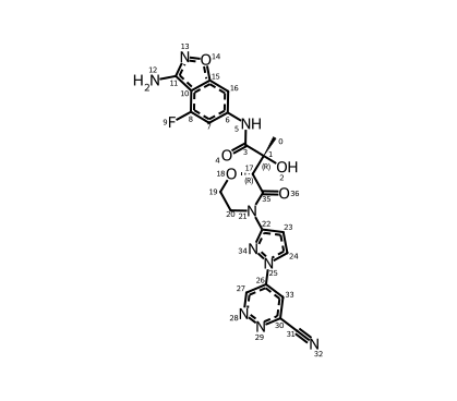 C[C@](O)(C(=O)Nc1cc(F)c2c(N)noc2c1)[C@H]1OCCN(c2ccn(-c3cnnc(C#N)c3)n2)C1=O